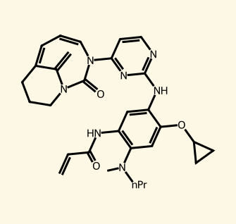 C=CC(=O)Nc1cc(Nc2nccc(N3/C=C\C=C4\CCCN(C4=C)C3=O)n2)c(OC2CC2)cc1N(C)CCC